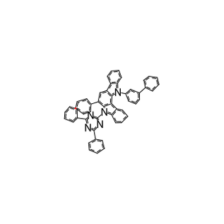 c1ccc(-c2cccc(-n3c4ccccc4c4cc(-c5ccccc5)c5c(c6ccccc6n5-c5nc(-c6ccccc6)nc(-c6ccccc6)n5)c43)c2)cc1